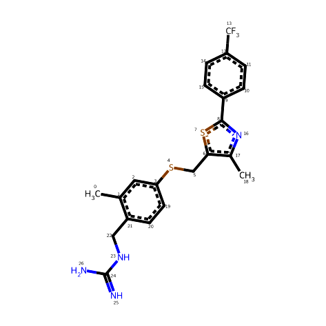 Cc1cc(SCc2sc(-c3ccc(C(F)(F)F)cc3)nc2C)ccc1CNC(=N)N